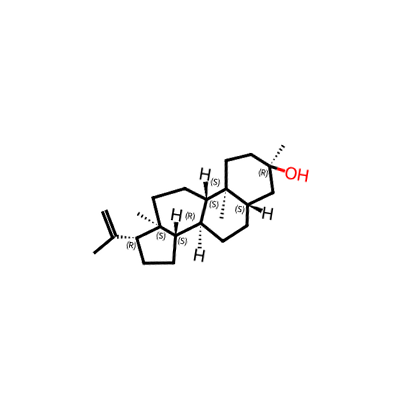 C=C(C)[C@H]1CC[C@H]2[C@@H]3CC[C@H]4C[C@](C)(O)CC[C@]4(C)[C@H]3CC[C@]12C